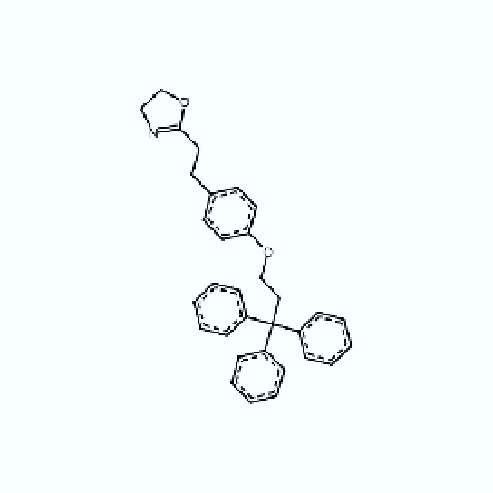 c1ccc(C(CCOc2ccc(CCC3=NCCO3)cc2)(c2ccccc2)c2ccccc2)cc1